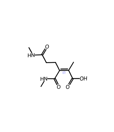 CNC(=O)CC/C(C(=O)NC)=C(\C)C(=O)O